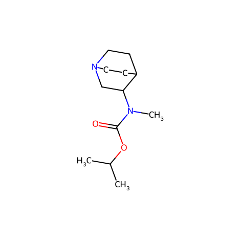 CC(C)OC(=O)N(C)C1CN2CCC1CC2